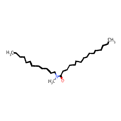 CCCCCCCCCCCCCCCC(=O)N(C)CCCCCCCCCCCC